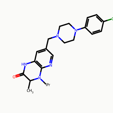 CC(C)N1c2ncc(CN3CCN(c4ccc(Cl)cc4)CC3)cc2NC(=O)C1C